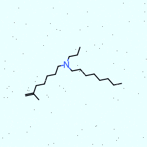 C=C(C)CCCCCN(CCC)CCCCCCCC